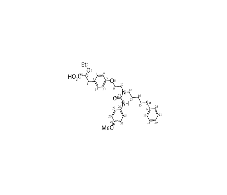 CCOC(Cc1ccc(OCCN(CCCCSc2ccccc2)C(=O)Nc2ccc(OC)cc2)cc1)C(=O)O